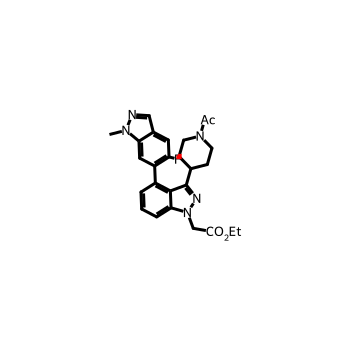 CCOC(=O)Cn1nc(C2CCN(C(C)=O)CC2)c2c(-c3cc4c(cnn4C)cc3F)cccc21